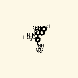 COC(=O)c1[nH]c2cc(Cl)cc3c2c1C(C(C(N)=O)c1ccc(CNC(=O)OC(C)(C)C)cc1C(=O)O)CC3